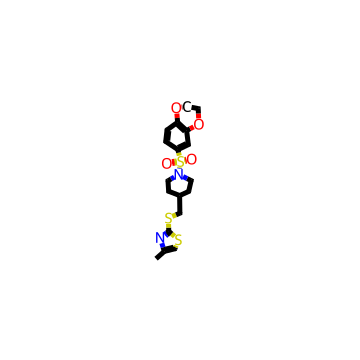 Cc1csc(SCC2CCN(S(=O)(=O)c3ccc4c(c3)OCCO4)CC2)n1